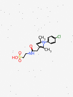 Cc1cc(CC(=O)NCCS(=O)(=O)O)c(C)n1-c1ccc(Cl)cc1